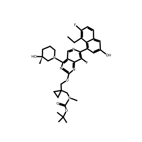 CCc1c(F)ccc2cc(O)cc(-c3ncc4c(N5CCC[C@@](C)(O)C5)nc(OCC5(CN(C)C(=O)OC(C)(C)C)CC5)nc4c3F)c12